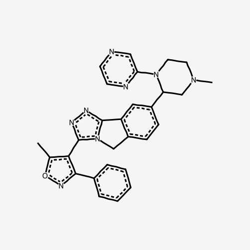 Cc1onc(-c2ccccc2)c1-c1nnc2n1Cc1ccc(C3CN(C)CCN3c3cnccn3)cc1-2